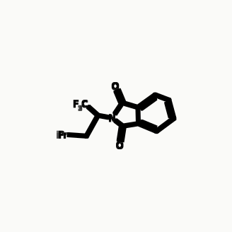 CC(C)CC(N1C(=O)c2ccccc2C1=O)C(F)(F)F